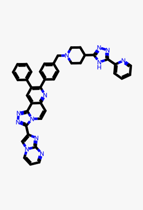 c1ccc(-c2cc3c(ccn4c(-c5cn6cccnc6n5)nnc34)nc2-c2ccc(CN3CCC(c4nnc(-c5ccccn5)[nH]4)CC3)cc2)cc1